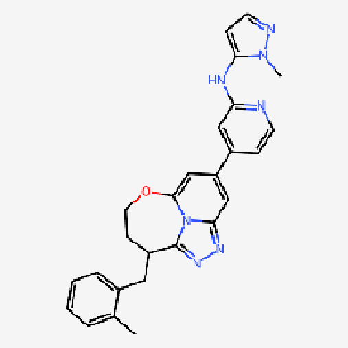 Cc1ccccc1CC1CCOc2cc(-c3ccnc(Nc4ccnn4C)c3)cc3nnc1n23